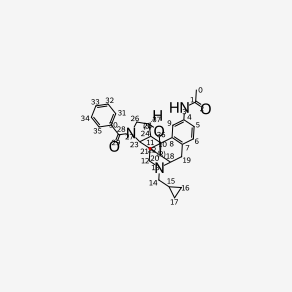 CC(=O)Nc1ccc2c(c1)C13CCN(CC4CC4)C(C2)[C@@]12CCC1C3[C@@H](CN1C(=O)c1ccccc1)O2